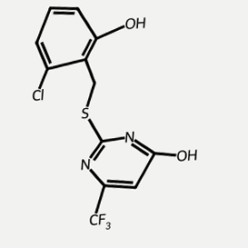 Oc1cc(C(F)(F)F)nc(SCc2c(O)cccc2Cl)n1